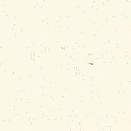 Cc1ccc([C@H]2Nc3ccc(S(=O)(=O)Nc4cccc(Cl)c4C)cc3[C@H]3C=CC[C@H]32)cc1